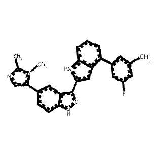 Cc1cc(F)cc(-c2cccc3[nH]c(-c4n[nH]c5ccc(-c6cnc(C)n6C)cc45)cc23)c1